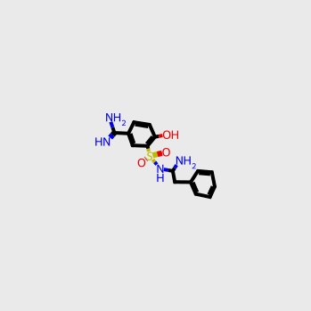 N=C(N)c1ccc(O)c(S(=O)(=O)NC(N)Cc2ccccc2)c1